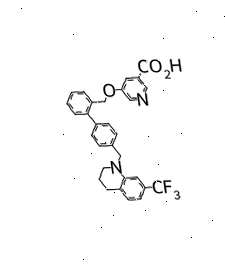 O=C(O)c1cncc(OCc2ccccc2-c2ccc(CN3CCCc4ccc(C(F)(F)F)cc43)cc2)c1